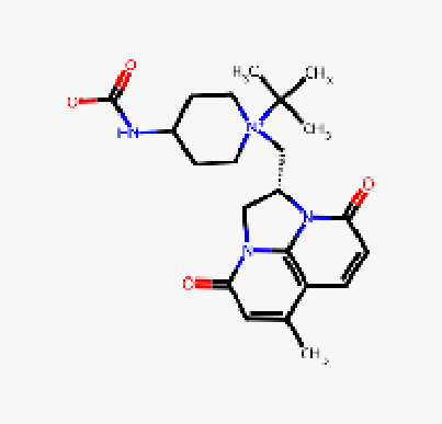 Cc1cc(=O)n2c3c1ccc(=O)n3[C@@H](C[N+]1(C(C)(C)C)CCC(NC(=O)[O-])CC1)C2